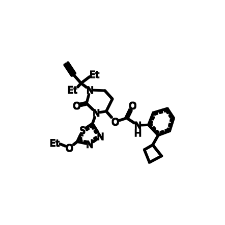 C#CC(CC)(CC)N1CCC(OC(=O)Nc2ccccc2C2CCC2)N(c2nnc(OCC)s2)C1=O